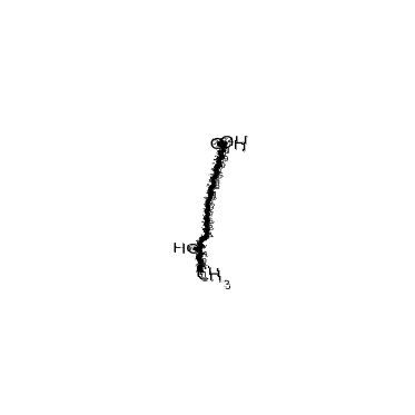 CCC=CCC(O)C=CC#CCC=CCC=CCC=CCCCCCCCCCCCCC(=O)O